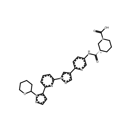 O=C(Nc1ccc(-c2cnn(-c3cccc(-c4ccnn4C4CCCCO4)n3)c2)nc1)[C@H]1CCCN(C(=O)O)C1